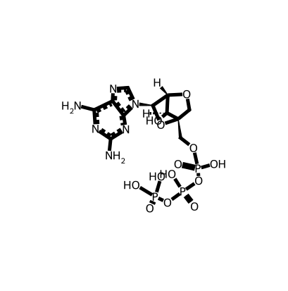 Nc1nc(N)c2ncn([C@@H]3O[C@@]4(COP(=O)(O)OP(=O)(O)OP(=O)(O)O)CO[C@@H]3[C@@H]4O)c2n1